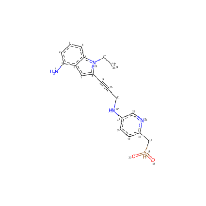 Nc1cccc2c1cc(C#CCNc1ccc(C[SH](=O)=O)nc1)n2CC(F)(F)F